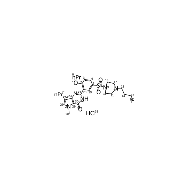 CCCOc1ccc(S(=O)(=O)N2CCN(CCCF)CC2)cc1-c1nc2c(CCC)cn(C)c2c(=O)[nH]1.Cl